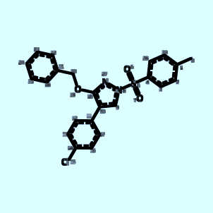 Cc1ccc(S(=O)(=O)n2cc(-c3ccc(Cl)cc3)c(OCc3ccccc3)n2)cc1